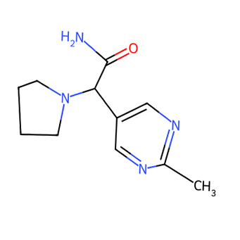 Cc1ncc(C(C(N)=O)N2CCCC2)cn1